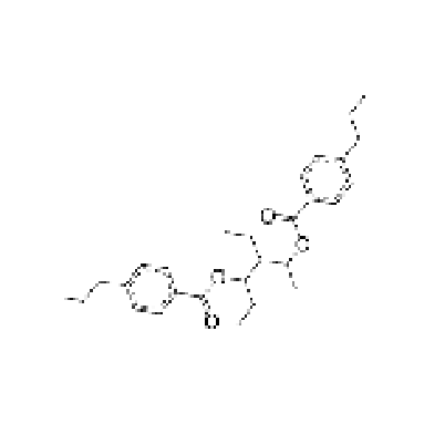 CCCc1ccc(C(=O)OC(C)C(CC)C(CC)OC(=O)c2ccc(CCC)cc2)cc1